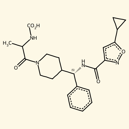 CC(NC(=O)O)C(=O)N1CCC([C@H](NC(=O)c2cc(C3CC3)on2)c2ccccc2)CC1